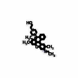 CC/N=c1/cc2oc3cc(C)c(C)cc3c(-c3ccccc3C(=O)N3CCN(CCO)CC3)c-2cc1C